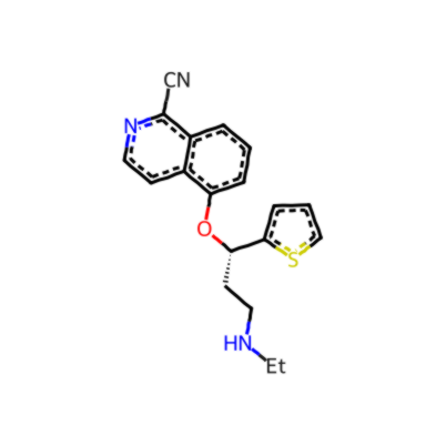 CCNCC[C@H](Oc1cccc2c(C#N)nccc12)c1cccs1